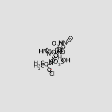 CC1(C)CCC(CN2CCN(c3ccc(C(=O)NS(=O)(=O)c4ccc(NCC5CCOCC5)c([N+](=O)[O-])c4)c(Oc4cnc5[nH]ccc5c4)c3)CC2)=C(c2ccc(Cl)cc2)C1.O=S(=O)(O)O